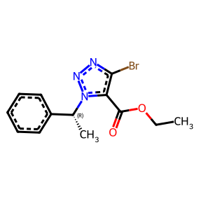 CCOC(=O)c1c(Br)nnn1[C@H](C)c1ccccc1